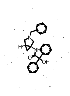 O=C(N[C@@]12C[C@@H]1CN(Cc1ccccc1)C2)C(O)(c1ccccc1)c1ccccc1